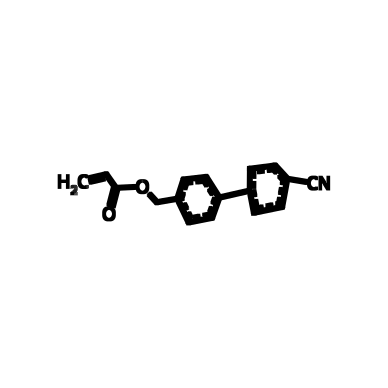 C=CC(=O)OCc1ccc(-c2ccc(C#N)cc2)cc1